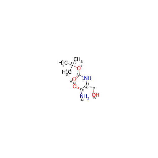 CC(C)(C)OC(=O)N[C@H](CO)C(N)=O